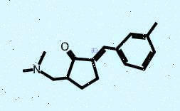 Cc1cccc(/C=C2\CCC(CN(C)C)C2=O)c1